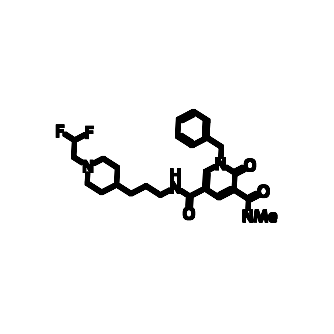 CNC(=O)c1cc(C(=O)NCCCC2CCN(CC(F)F)CC2)cn(Cc2ccccc2)c1=O